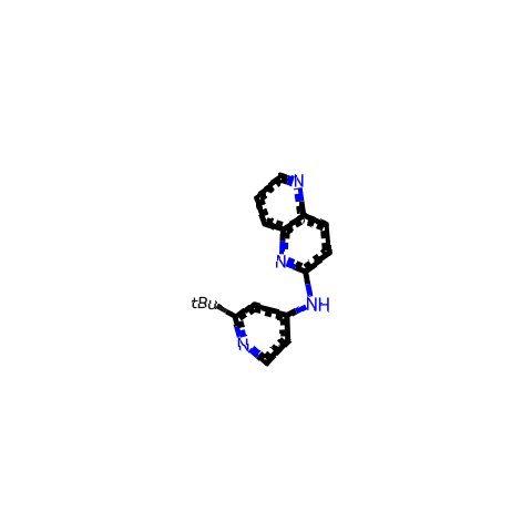 CC(C)(C)c1cc(Nc2ccc3ncccc3n2)ccn1